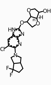 OC1COC2C(Oc3nc4nc(N5CC6CCC(F)(F)C6C5)c(Cl)cc4[nH]3)CO[C@H]12